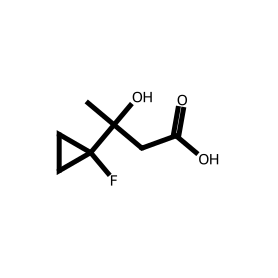 CC(O)(CC(=O)O)C1(F)CC1